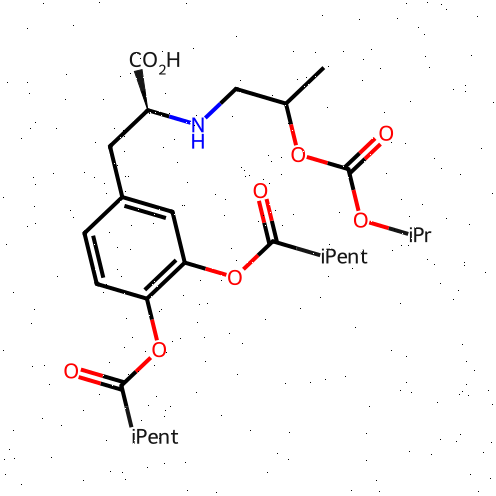 CCCC(C)C(=O)Oc1ccc(C[C@H](NCC(C)OC(=O)OC(C)C)C(=O)O)cc1OC(=O)C(C)CCC